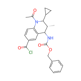 CC(=O)N1c2ccc(C(=O)Cl)cc2C(NC(=O)OCc2ccccc2)[C@@H](C)C1C1CC1